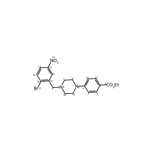 CCOC(=O)c1ccc(N2CCN(Cc3cc([N+](=O)[O-])ccc3Br)CC2)cc1